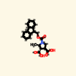 C[C@@H]1[C@@H](C(=O)O)C(C(=O)O)CN1C(=O)OCC1c2ccccc2-c2ccccc21